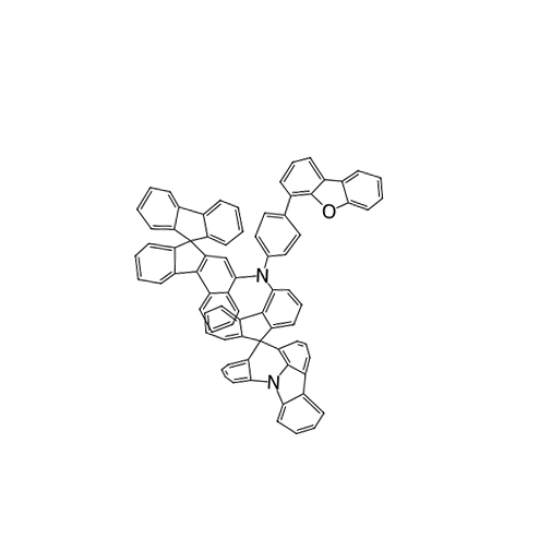 c1ccc2c(c1)-c1ccccc1C21c2ccccc2-c2c1cc(N(c1ccc(-c3cccc4c3oc3ccccc34)cc1)c1cccc3c1-c1ccccc1C31c3ccccc3-n3c4ccccc4c4cccc1c43)c1ccccc21